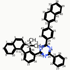 C[Si]1(C)c2ccc3ccccc3c2-c2cccc(-c3nc(-c4ccccc4)nc(-c4ccc(-c5ccc6ccccc6c5)cc4)n3)c21